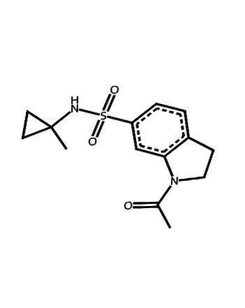 CC(=O)N1CCc2ccc(S(=O)(=O)NC3(C)CC3)cc21